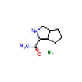 Cl.NC(=O)C1NCC2CCCC21